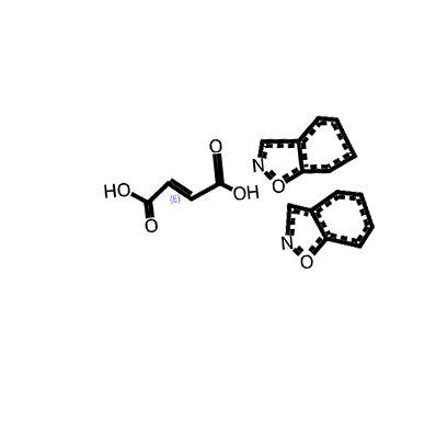 O=C(O)/C=C/C(=O)O.c1ccc2oncc2c1.c1ccc2oncc2c1